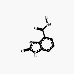 CCNC(=O)c1cccc2[nH]c(=O)[nH]c12